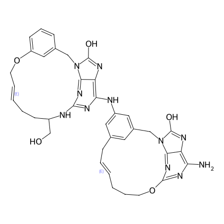 Nc1nc2nc3c1nc(O)n3Cc1cc(cc(Nc3nc4nc5c3nc(O)n5Cc3cccc(c3)OC/C=C/CCC(CO)N4)c1)C/C=C/CCCO2